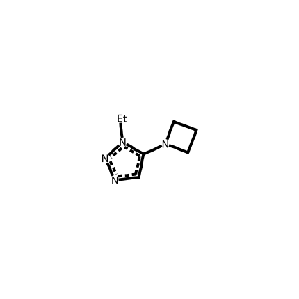 CCn1nncc1N1CCC1